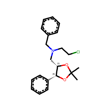 CC1(C)O[C@@H](CN(CCCl)Cc2ccccc2)[C@@H](c2ccccc2)O1